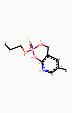 CCCOP1(=S)OCc2cc(C)cnc2O1